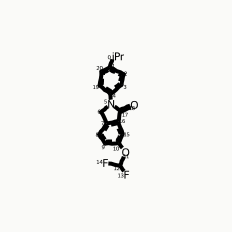 CC(C)c1ccc(N2Cc3ccc(OC(F)F)cc3C2=O)cc1